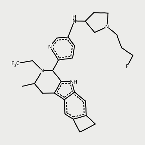 CC1Cc2c([nH]c3cc4c(cc23)CC4)C(c2ccc(NC3CCN(CCCF)C3)cn2)N1CC(F)(F)F